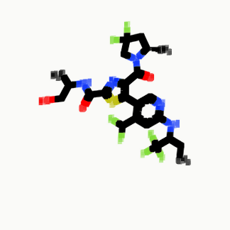 CCC(Nc1cc(C(F)F)c(-c2sc(C(=O)NC(C)CO)nc2C(=O)N2CC(F)(F)C[C@@H]2C)cn1)C(F)(F)F